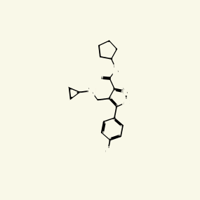 O=C(NC1CCCC1)c1noc(-c2ccc(C(F)(F)F)cc2)c1CNC1CC1